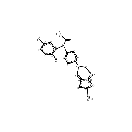 NC(=O)N(c1ccc(N2C=c3cc(N)oc3=NC2)cc1)c1cc(C(F)(F)F)ccc1F